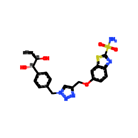 CCCCCC[C@@H](O)[C@@H](O)c1ccc(Cn2cc(COc3ccc4nc(S(N)(=O)=O)sc4c3)nn2)cc1